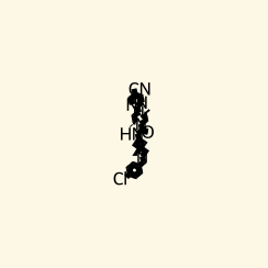 C[C@@H]1CN(c2ncc(C#N)cn2)[C@@H](C)CN1C(=O)NC1CC2(C1)CN(Cc1ccc(Cl)cc1)C2